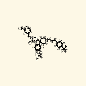 O=C(NCc1ccnc(Cl)c1)N1CC2(CCN(C/C=C/c3ccc(C(F)(F)F)cc3)CC2)c2cc(OC(F)(F)F)ccc21